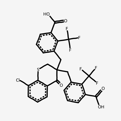 O=C(O)c1cccc(CC2(Cc3cccc(C(=O)O)c3C(F)(F)F)CSc3c(Cl)cccc3C2=O)c1C(F)(F)F